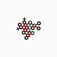 CC(C)(C)c1ccc(N(c2ccc(C(C)(C)C)cc2)c2cc3c4c(c2)N(c2c(C5=CCCC(c6ccccc6)=C5)cccc2-c2cccc(C5=CCCC=C5)c2)c2cc(Oc5ccccc5)ccc2B4c2ccc(Oc4ccccc4)cc2N3C2=C(C3=CC=CC(c4ccccc4)C3)CCC=C2c2cccc(-c3ccccc3)c2)cc1